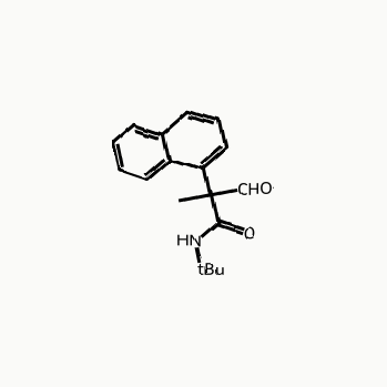 CC(C)(C)NC(=O)C(C)([C]=O)c1cccc2ccccc12